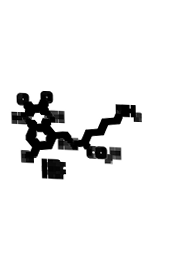 Br.Br.NCCCC[C@H](NCc1cc(Br)cc2[nH]c(=O)c(=O)[nH]c12)C(=O)O